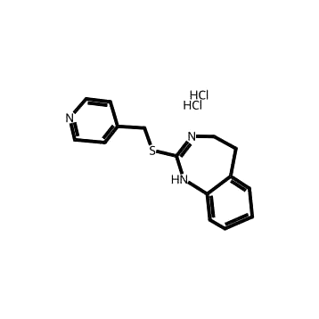 Cl.Cl.c1ccc2c(c1)CCN=C(SCc1ccncc1)N2